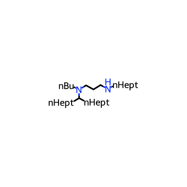 CCCCCCCNCCCN(CCCC)C(CCCCCCC)CCCCCCC